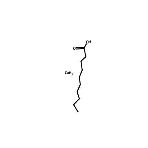 CCCCCCCCCC(=O)O.[CaH2]